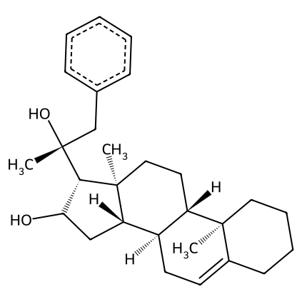 C[C@]12CC[C@H]3[C@@H](CC=C4CCCC[C@@]43C)[C@@H]1CC(O)[C@@H]2[C@](C)(O)Cc1ccccc1